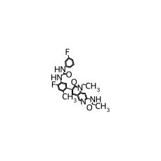 CCn1c(=O)c(-c2cc(NC(=O)Nc3cccc(F)c3)c(F)cc2C)cc2cnc(NC(C)=O)cc21